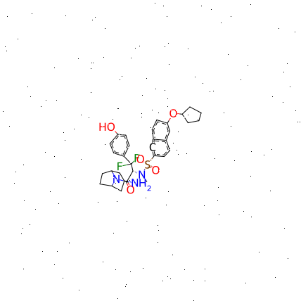 CN([C@H](C(=O)N1C2CCC1CC(N)C2)C(F)(F)c1ccc(O)cc1)S(=O)(=O)c1ccc2cc(OC3CCCC3)ccc2c1